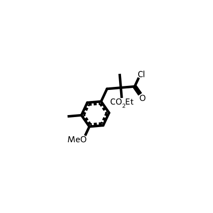 CCOC(=O)C(C)(Cc1ccc(OC)c(C)c1)C(=O)Cl